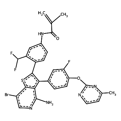 C=C(C)C(=O)Nc1ccc(-c2sc3c(Br)cnc(N)c3c2-c2ccc(Oc3nccc(C)n3)c(F)c2)c(C(F)F)c1